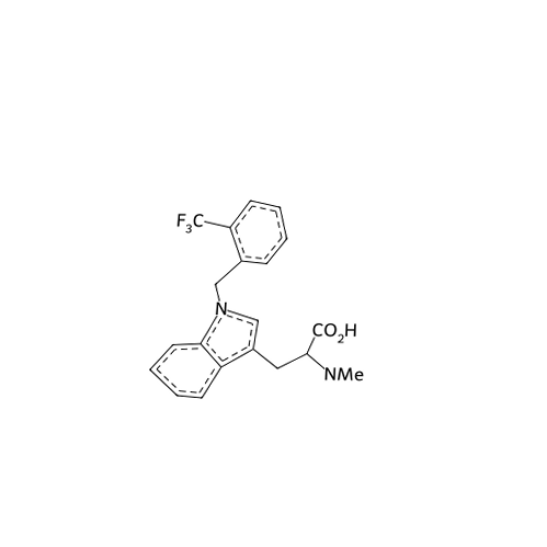 CNC(Cc1cn(Cc2ccccc2C(F)(F)F)c2ccccc12)C(=O)O